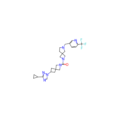 O=C(N1CC2(CC(n3cnc(C4CC4)n3)C2)C1)N1CC2(CCN(Cc3ccc(C(F)(F)F)nc3)C2)C1